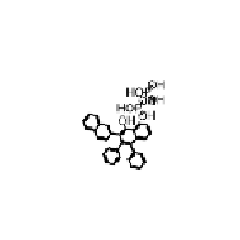 OP(O)O.OP(O)O.Oc1c(-c2ccc3ccccc3c2)c(-c2ccccc2)c(-c2ccccc2)c2ccccc12